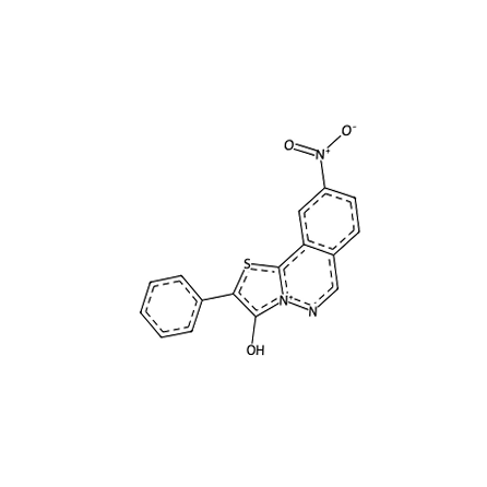 O=[N+]([O-])c1ccc2cn[n+]3c(O)c(-c4ccccc4)sc3c2c1